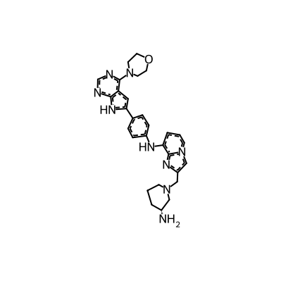 N[C@@H]1CCCN(Cc2cn3cccc(Nc4ccc(-c5cc6c(N7CCOCC7)ncnc6[nH]5)cc4)c3n2)C1